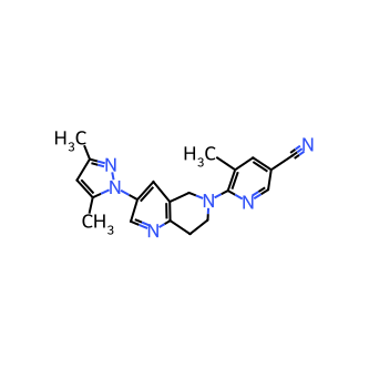 Cc1cc(C)n(-c2cnc3c(c2)CN(c2ncc(C#N)cc2C)CC3)n1